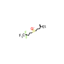 C=C(CC)CCC[S+]([O-])CCCC(F)(F)C(F)(F)F